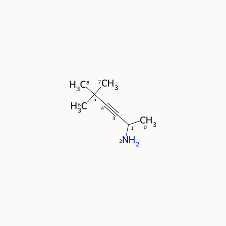 CC(N)C#CC(C)(C)C